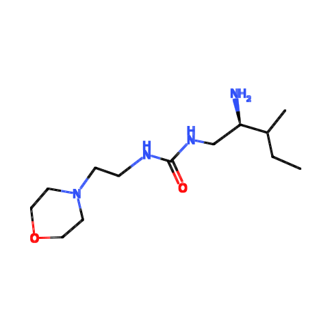 CCC(C)[C@H](N)CNC(=O)NCCN1CCOCC1